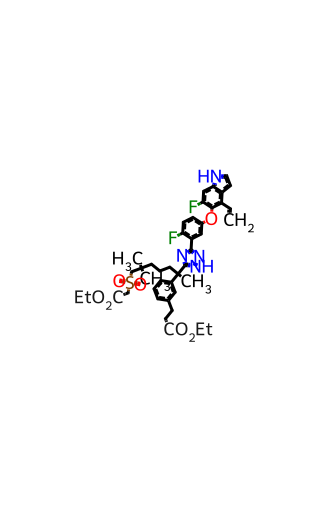 C=Cc1c(Oc2ccc(F)c(-c3n[nH]c(C(C)(CCCC(C)(C)CS(=O)(=O)CC(=O)OCC)c4cccc(CCC(=O)OCC)c4)n3)c2)c(F)cc2[nH]ccc12